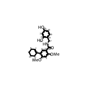 COc1cc(OC)c(C2=CCCCC2)cc1C(=O)NCc1ccc(O)cc1O